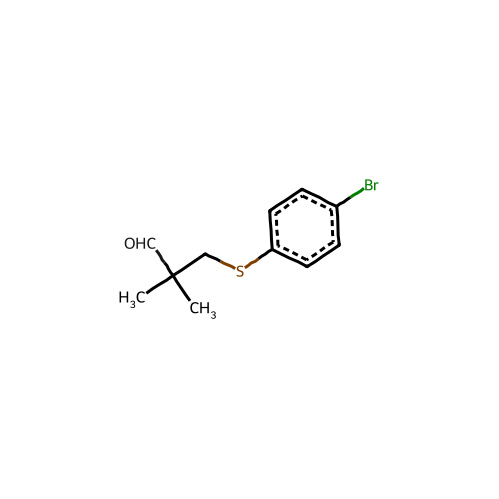 CC(C)(C=O)CSc1ccc(Br)cc1